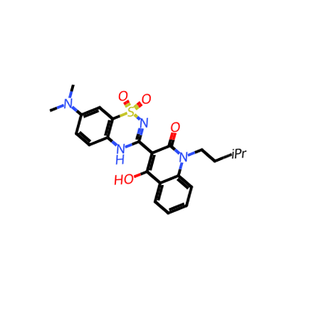 CC(C)CCn1c(=O)c(C2=NS(=O)(=O)c3cc(N(C)C)ccc3N2)c(O)c2ccccc21